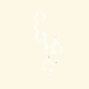 Nc1ncnc2c1c(-c1ccc(Oc3ccccc3)cc1)nn2[C@@H]1CCNC[C@@H]1F